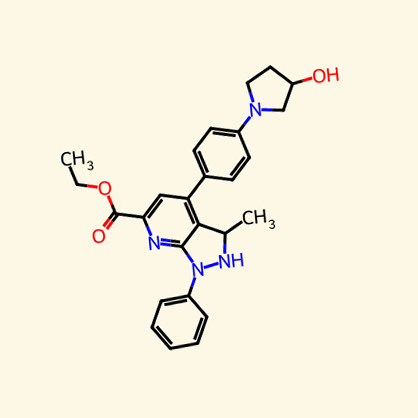 CCOC(=O)c1cc(-c2ccc(N3CCC(O)C3)cc2)c2c(n1)N(c1ccccc1)NC2C